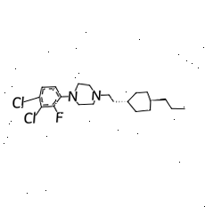 CCC[C@H]1CC[C@H](CCN2CCN(c3ccc(Cl)c(Cl)c3F)CC2)CC1